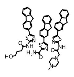 CN1CCN(CC(=O)Nc2ncc(-c3ccc4c(c3)Cc3ccccc3-4)s2)CC1.NC(=O)c1ncc(-c2ccc3c(c2)Cc2ccccc2-3)s1.O=C(CCCO)Nc1ncc(-c2ccc3c(c2)Cc2ccccc2-3)s1